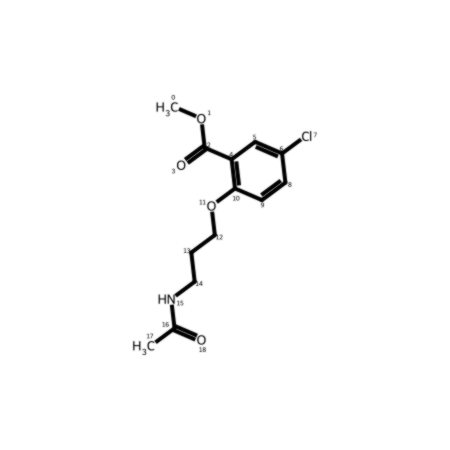 COC(=O)c1cc(Cl)ccc1OCCCNC(C)=O